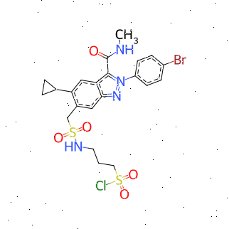 CNC(=O)c1c2cc(C3CC3)c(CS(=O)(=O)NCCCS(=O)(=O)Cl)cc2nn1-c1ccc(Br)cc1